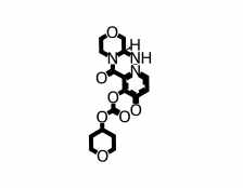 O=C(Oc1c2n(ccc1=O)N[C@@H]1COCCN1C2=O)OC1CCOCC1